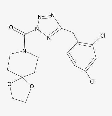 O=C(N1CCC2(CC1)OCCO2)n1nnc(Cc2ccc(Cl)cc2Cl)n1